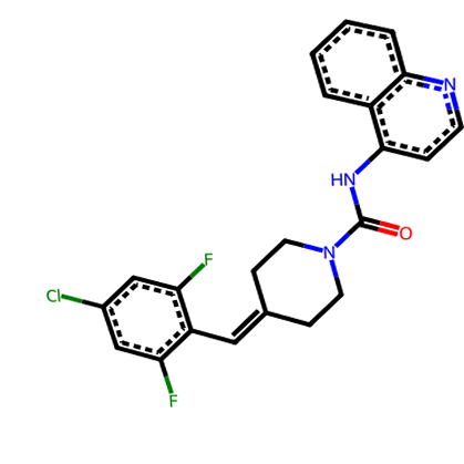 O=C(Nc1ccnc2ccccc12)N1CCC(=Cc2c(F)cc(Cl)cc2F)CC1